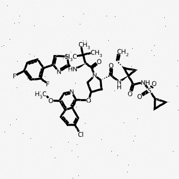 C=C[C@@H]1C[C@]1(NC(=O)[C@@H]1CC(Oc2ncc(OC)c3ccc(Cl)cc23)CN1C(=O)[C@@H](Nc1nc(-c2ccc(F)cc2F)cs1)C(C)(C)C)C(=O)NS(=O)(=O)C1CC1